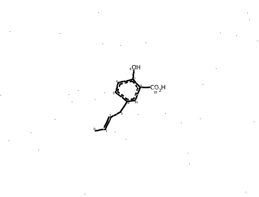 CC=CCc1ccc(O)c(C(=O)O)c1